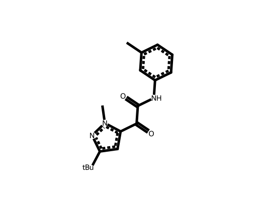 Cc1cccc(NC(=O)C(=O)c2cc(C(C)(C)C)nn2C)c1